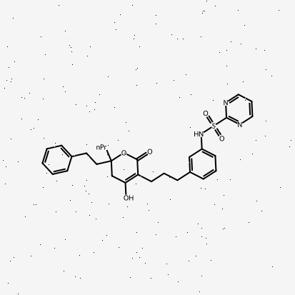 CCCC1(CCc2ccccc2)CC(O)=C(CCCc2cccc(NS(=O)(=O)c3ncccn3)c2)C(=O)O1